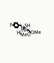 COC(CN/C(S)=N/Cc1ccc(F)cc1)OC.I